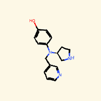 Oc1ccc(N(Cc2cccnc2)[C@H]2CCNC2)cc1